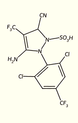 N#CC1C(C(F)(F)F)=C(N)N(c2c(Cl)cc(C(F)(F)F)cc2Cl)N1S(=O)(=O)O